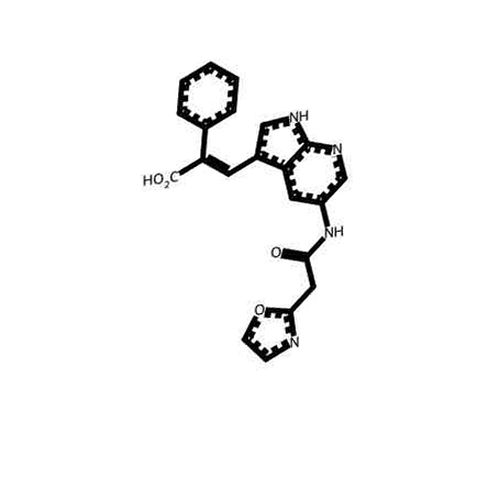 O=C(Cc1ncco1)Nc1cnc2[nH]cc(C=C(C(=O)O)c3ccccc3)c2c1